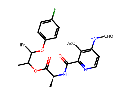 CC(=O)Oc1c(NC=O)ccnc1C(=O)N[C@@H](C)C(=O)OC(C)C(Oc1ccc(F)cc1)C(C)C